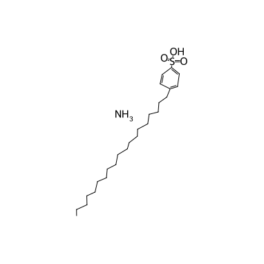 CCCCCCCCCCCCCCCCCCCc1ccc(S(=O)(=O)O)cc1.N